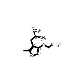 Cc1onc(OCC(=O)O)c1C[C@H](N)C(=O)O